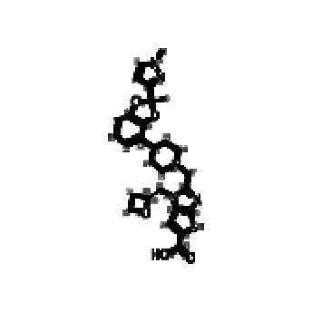 Cn1ccc([C@@]2(C)Oc3cccc(C4CCN(Cc5nc6sc(C(=O)O)cc6n5C[C@@H]5CCO5)CC4)c3O2)n1